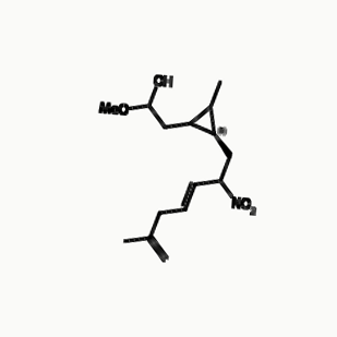 C=C(C)CC=CC(C[C@@H]1C(C)C1CC(O)OC)[N+](=O)[O-]